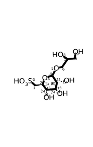 O=S(=O)(O)C[C@H]1OC(OCC(O)CO)[C@H](O)[C@@H](O)[C@@H]1O